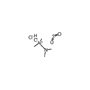 CN(C)C.Cl.O=S=O.[CH3][Al+][CH3].[Cl-]